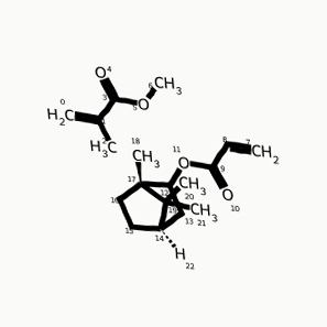 C=C(C)C(=O)OC.C=CC(=O)OC1C[C@H]2CC[C@@]1(C)C2(C)C